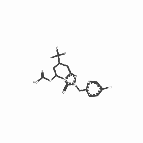 O=C(O)OC1CC(C(F)(F)F)Cc2nn(Cc3ccc(Cl)cn3)c(=O)n21